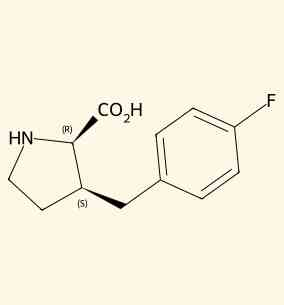 O=C(O)[C@@H]1NCC[C@@H]1Cc1ccc(F)cc1